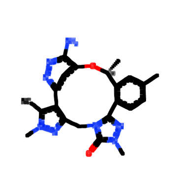 Cc1ccc2c(c1)[C@@H](C)Oc1cc(nnc1N)-c1c(nn(C)c1C#N)Cn1c-2nn(C)c1=O